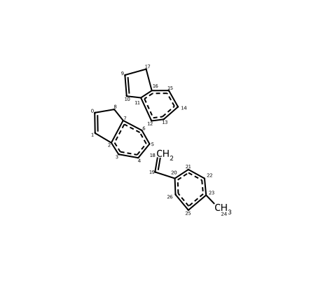 C1=Cc2ccccc2C1.C1=Cc2ccccc2C1.C=Cc1ccc(C)cc1